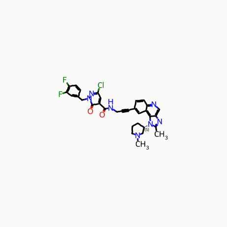 Cc1nc2cnc3ccc(C#CCNC(=O)c4cc(Cl)nn(Cc5ccc(F)c(F)c5)c4=O)cc3c2n1[C@H]1CCCN(C)C1